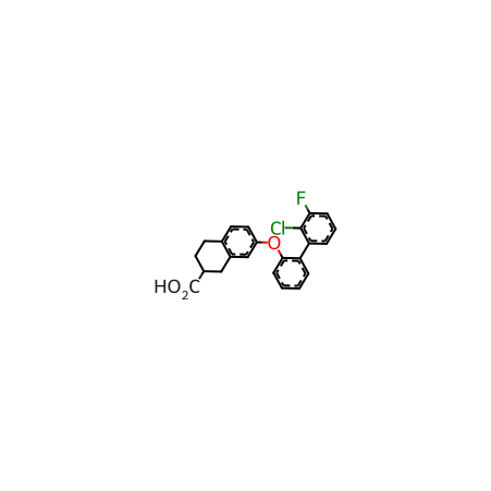 O=C(O)C1CCc2ccc(Oc3ccccc3-c3cccc(F)c3Cl)cc2C1